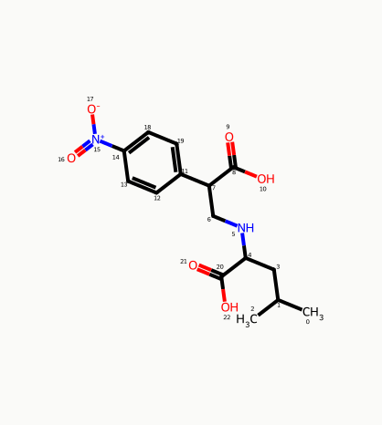 CC(C)CC(NCC(C(=O)O)c1ccc([N+](=O)[O-])cc1)C(=O)O